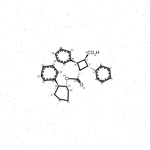 O=C(O)[C@H]1[C@H](c2ccccc2)[C@H](C(=O)O[C@@H]2CCCC[C@H]2c2ccccc2)[C@H]1c1ccccc1